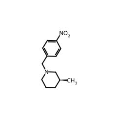 C[C@H]1CCCN(Cc2ccc([N+](=O)[O-])cc2)C1